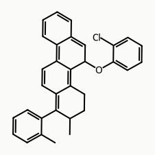 Cc1ccccc1C1=c2ccc3c(c2CCC1C)C(Oc1ccccc1Cl)C=c1ccccc1=3